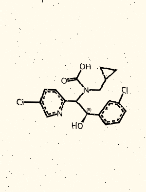 O=C(O)N(CC1CC1)C(c1ccc(Cl)cn1)[C@H](O)c1cccc(Cl)c1